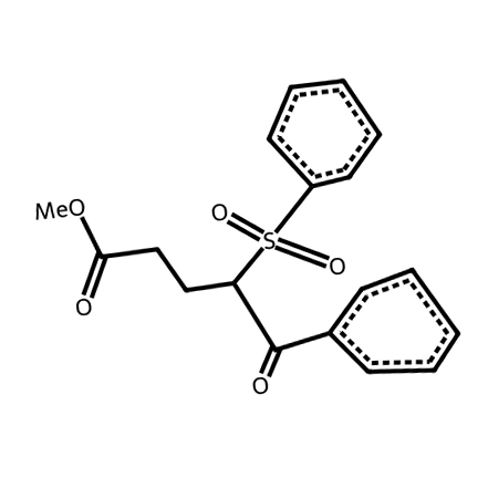 COC(=O)CCC(C(=O)c1ccccc1)S(=O)(=O)c1ccccc1